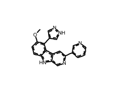 COc1ccc2[nH]c3cnc(-c4cccnc4)cc3c2c1-c1cn[nH]c1